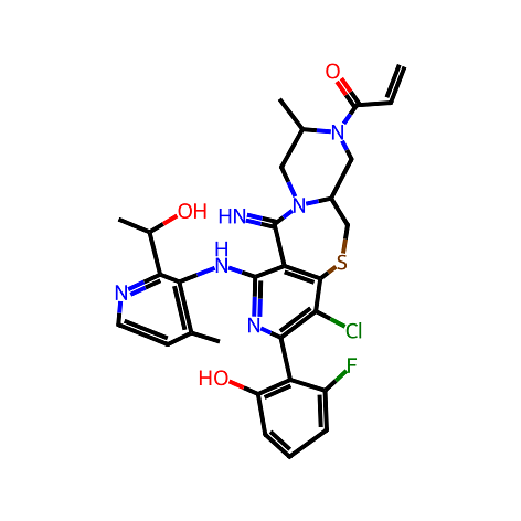 C=CC(=O)N1CC2CSc3c(Cl)c(-c4c(O)cccc4F)nc(Nc4c(C)ccnc4C(C)O)c3C(=N)N2CC1C